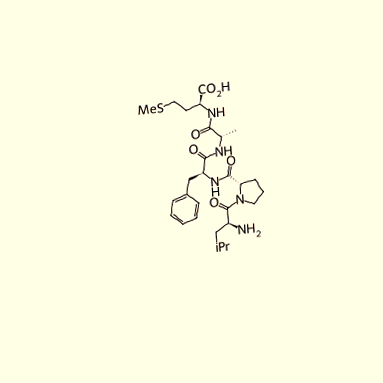 CSCC[C@H](NC(=O)[C@H](C)NC(=O)[C@H](Cc1ccccc1)NC(=O)[C@@H]1CCCN1C(=O)[C@@H](N)CC(C)C)C(=O)O